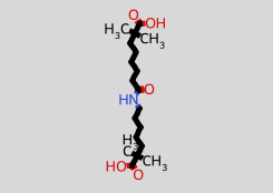 CC(C)(CCCCCNC(=O)CCCCCC(C)(C)C(=O)O)C(=O)O